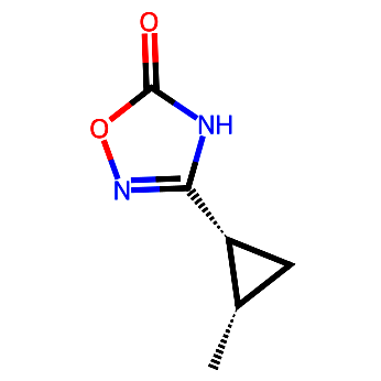 C[C@H]1C[C@H]1c1noc(=O)[nH]1